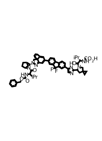 CC(C)C(NC(=O)O)C(=O)N1CC2(CC2)CC1c1ncc(-c2ccc3c(c2)C(F)(F)c2cc(C4=CC5=NN([C@H]6C7CCC(C7)N6C(=O)C(NC(=O)OCc6ccccc6)C(C)C)CC56C=CC=CC6=C4)ccc2-3)[nH]1